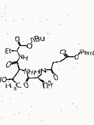 CCCCOC(=O)[C@H](CC)NC(=O)[C@@H](NC(=O)[C@H](CCC)NC(=O)CCC(=O)OC(C)CCC)C(C)O